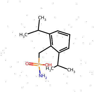 CC(C)c1cccc(C(C)C)c1CP(N)(=O)O